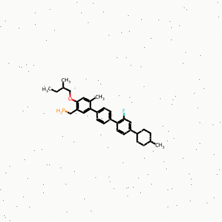 CCC(C)COc1cc(C)c(-c2ccc(-c3ccc(C4CCC(C)CC4)cc3F)cc2)cc1CP